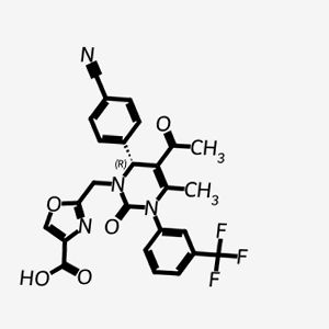 CC(=O)C1=C(C)N(c2cccc(C(F)(F)F)c2)C(=O)N(Cc2nc(C(=O)O)co2)[C@@H]1c1ccc(C#N)cc1